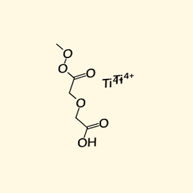 COOC(=O)COCC(=O)O.[Ti+4].[Ti+4]